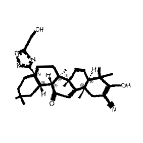 CC1(C)CC[C@]2(c3noc(CO)n3)CC[C@]3(C)[C@H](C(=O)C=C4[C@@]5(C)CC(C#N)=C(O)C(C)(C)[C@@H]5CC[C@]43C)[C@@H]2C1